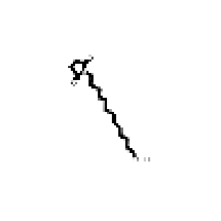 O=C(O)CCCCCCCCCCCCCN1C(=O)CCC1=O